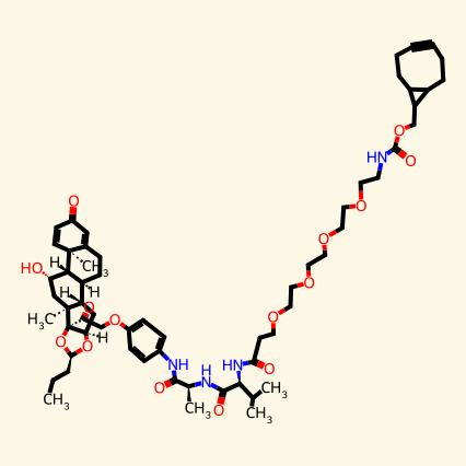 CCC[C@@H]1O[C@@H]2C[C@H]3[C@@H]4CCC5=CC(=O)C=C[C@]5(C)[C@H]4[C@@H](O)C[C@]3(C)[C@]2(C(=O)COc2ccc(NC(=O)[C@H](C)NC(=O)[C@@H](NC(=O)CCOCCOCCOCCOCCNC(=O)OCC3C4CCC#CCCC43)C(C)C)cc2)O1